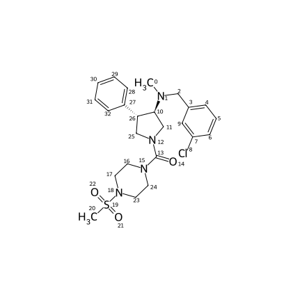 CN(Cc1cccc(Cl)c1)[C@H]1CN(C(=O)N2CCN(S(C)(=O)=O)CC2)C[C@@H]1c1ccccc1